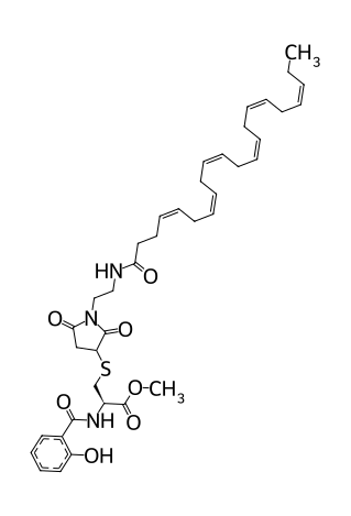 CC/C=C\C/C=C\C/C=C\C/C=C\C/C=C\C/C=C\CCC(=O)NCCN1C(=O)CC(SC[C@H](NC(=O)c2ccccc2O)C(=O)OC)C1=O